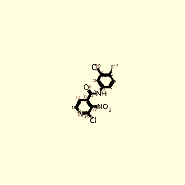 O=C(Nc1ccc(F)c(Cl)c1)c1ccnc(Cl)c1[N+](=O)[O-]